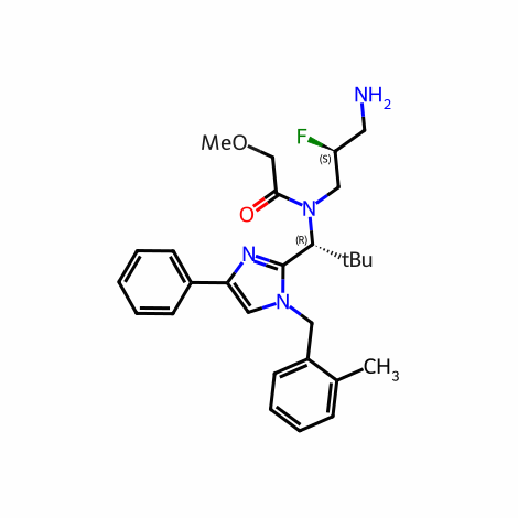 COCC(=O)N(C[C@@H](F)CN)[C@@H](c1nc(-c2ccccc2)cn1Cc1ccccc1C)C(C)(C)C